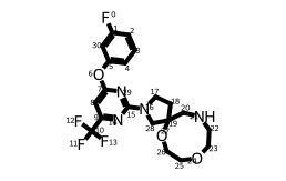 Fc1cccc(Oc2cc(C(F)(F)F)nc(N3CCC4(CNCCOCCO4)C3)n2)c1